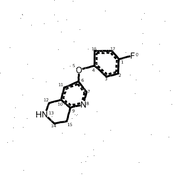 Fc1ccc(Oc2cnc3c(c2)CNCC3)cc1